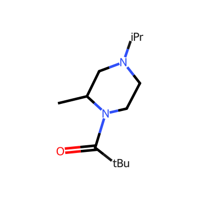 CC(C)N1CCN(C(=O)C(C)(C)C)C(C)C1